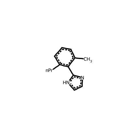 CCCc1cccc(C)c1-c1ncc[nH]1